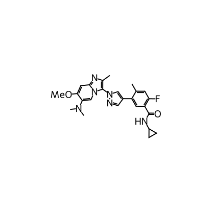 COc1cc2nc(C)c(-n3cc(-c4cc(C(=O)NC5CC5)c(F)cc4C)cn3)n2cc1N(C)C